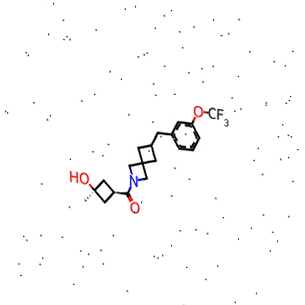 C[C@]1(O)C[C@@H](C(=O)N2CC3(CC(Cc4cccc(OC(F)(F)F)c4)C3)C2)C1